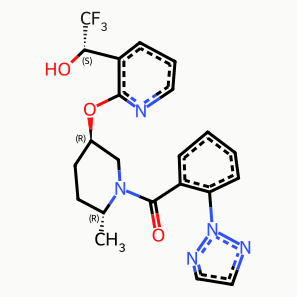 C[C@@H]1CC[C@@H](Oc2ncccc2[C@H](O)C(F)(F)F)CN1C(=O)c1ccccc1-n1nccn1